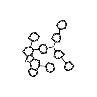 c1ccc(-c2ccc(N(c3ccc(-c4ccccc4)cc3)c3ccc(-c4c(-c5ccccc5)ccc5oc6c7ccccc7c(-c7ccccc7)cc6c45)cc3)cc2)cc1